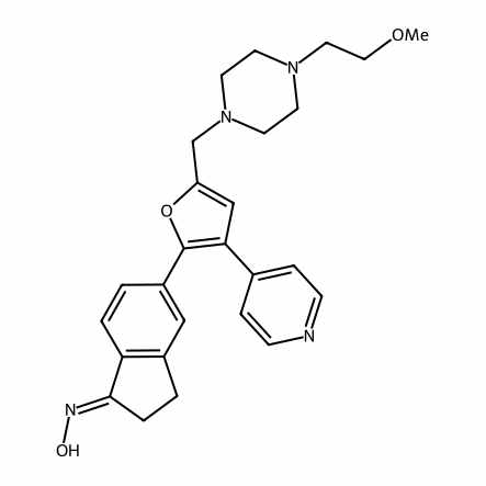 COCCN1CCN(Cc2cc(-c3ccncc3)c(-c3ccc4c(c3)CCC4=NO)o2)CC1